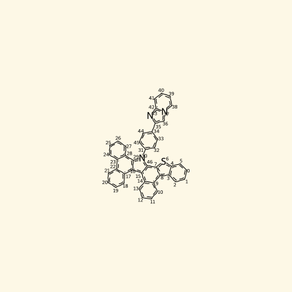 c1ccc2c(c1)sc1c2c2ccccc2c2c3c4ccccc4c4ccccc4c3n(-c3ccc(-c4cn5ccccc5n4)cc3)c12